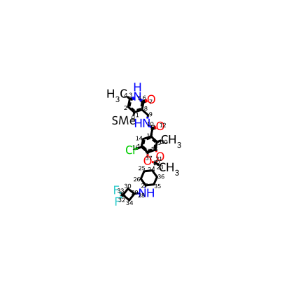 CSc1cc(C)[nH]c(=O)c1CNC(=O)c1cc(Cl)c2c(c1C)OC(C)([C@H]1CC[C@@H](NC3CC(F)(F)C3)CC1)O2